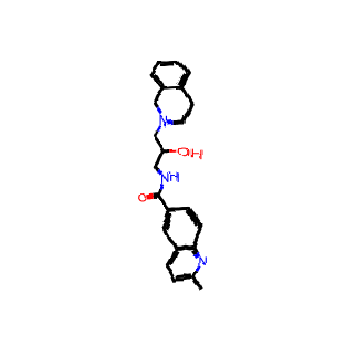 Cc1ccc2cc(C(=O)NCC(O)CN3CCc4ccccc4C3)ccc2n1